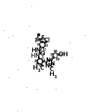 Cc1nc(-c2cc(NC(=O)Nc3ccc(Cl)c(C(F)(F)F)c3)ccc2C)nc(C2CCC(O)C2)n1